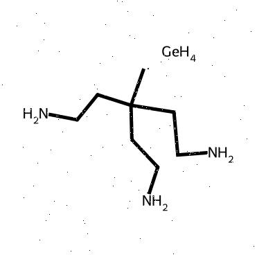 [CH2]C(CCN)(CCN)CCN.[GeH4]